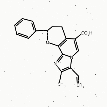 C=Cc1c(C)nc2c3c(c(C(=O)O)cn12)CCC(c1ccccc1)O3